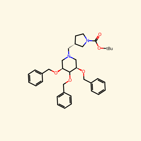 CC(C)(C)OC(=O)N1CC[C@@H](CN2C[C@H](OCc3ccccc3)C(OCc3ccccc3)[C@H](OCc3ccccc3)C2)C1